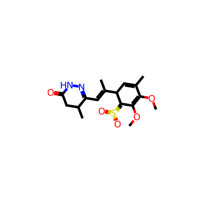 COC1=C(OC)C(=S(=O)=O)C(C(C)=CC2=NNC(=O)CC2C)C=C1C